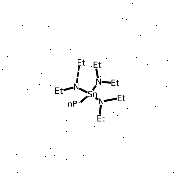 CC[CH2][Sn]([N](CC)CC)([N](CC)CC)[N](CC)CC